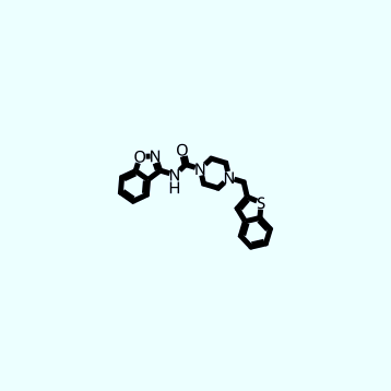 O=C(Nc1noc2ccccc12)N1CCN(Cc2cc3ccccc3s2)CC1